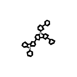 C1=CC(c2cccc(N3C4=CC=C(c5ccc6c(c5)c5ccccc5n6-c5ccccc5)CC4c4cc(-c5ccccc5)ccc43)c2)=CCC1